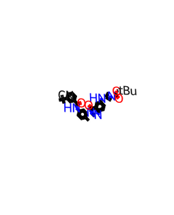 Cc1ccc(NC(=O)c2cccc(C(C)(C)C#N)c2)cc1-n1cnc2ccc(NC3CN(C(=O)OC(C)(C)C)C3)cc2c1=O